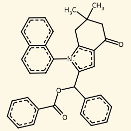 CC1(C)CC(=O)c2cc(C(OC(=O)c3ccccc3)c3ccccc3)n(-c3cccc4ccccc34)c2C1